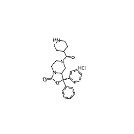 Cl.O=C(C1CCNCC1)N1CCN2C(=O)OC(c3ccccc3)(c3ccccc3)C2C1